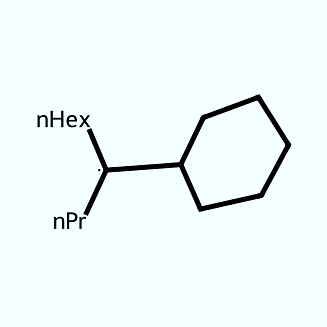 CCCCCC[C](CCC)C1CCCCC1